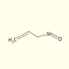 C=C[CH2][Sn]=[O]